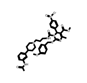 COC(=O)C1=C(C)N=C(SCc2ccc(OC)cc2)N(C(=O)NCCCN2CCC(c3cccc(NC(C)=O)c3)CC2)C1c1ccc([N+](=O)[O-])cc1